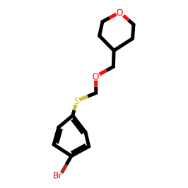 Brc1ccc(SCOCC2CCOCC2)cc1